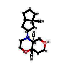 C1C[C]2C[C@H](N3CCO[C@H]4CCOC[C@@H]43)C[C@H]2C1